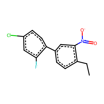 CCc1ccc(-c2ccc(Cl)cc2F)cc1[N+](=O)[O-]